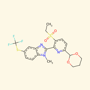 CCS(=O)(=O)c1ccc(C2OCCCO2)nc1-c1nc2cc(SC(F)(F)F)ccc2n1C